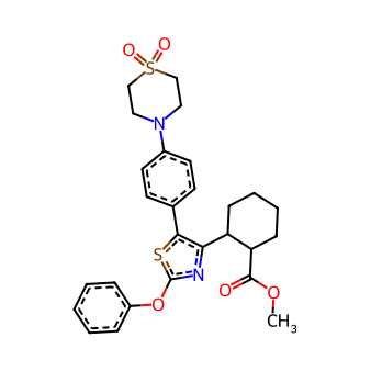 COC(=O)C1CCCCC1c1nc(Oc2ccccc2)sc1-c1ccc(N2CCS(=O)(=O)CC2)cc1